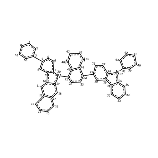 c1ccc(-c2ccc3c(c2)c2cc4ccccc4cc2n3-c2ccc(-c3ccc4c(c3)c3ccccc3n4-c3ccccc3)c3nccnc23)cc1